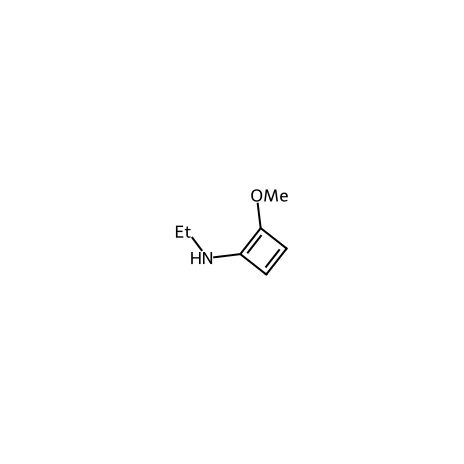 CCNC1=C(OC)C=C1